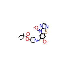 CCC(C)(CC)C(=O)OC1CCN(Cc2cc3c(cc2OC)Sc2nccnc2N3COC)CC1